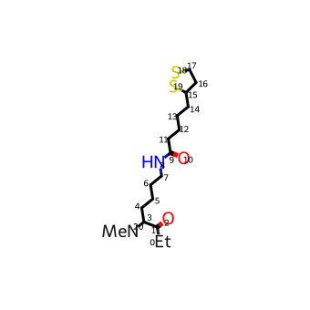 CCC(=O)C(CCCCNC(=O)CCCCC1CCSS1)NC